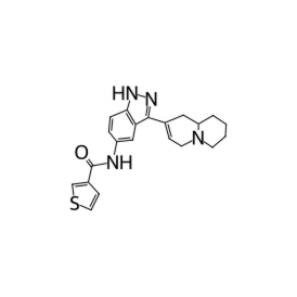 O=C(Nc1ccc2[nH]nc(C3=CCN4CCCCC4C3)c2c1)c1ccsc1